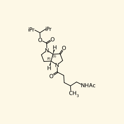 CC(=O)NCC(C)CCC(=O)N1CC(=O)[C@@H]2[C@H]1CCN2C(=O)OC(C(C)C)C(C)C